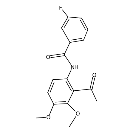 COc1ccc(NC(=O)c2cccc(F)c2)c(C(C)=O)c1OC